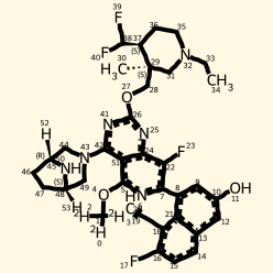 [2H]C([2H])([2H])Oc1nc(-c2cc(O)cc3ccc(F)c(C#C)c23)c(F)c2nc(OC[C@]3(C)CN(CC)CC[C@@H]3C(F)F)nc(N3C[C@H]4CC[C@@H](C3)N4)c12